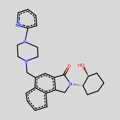 O=C1c2cc(CN3CCN(c4ccccn4)CC3)c3ccccc3c2CN1[C@H]1CCCC[C@@H]1O